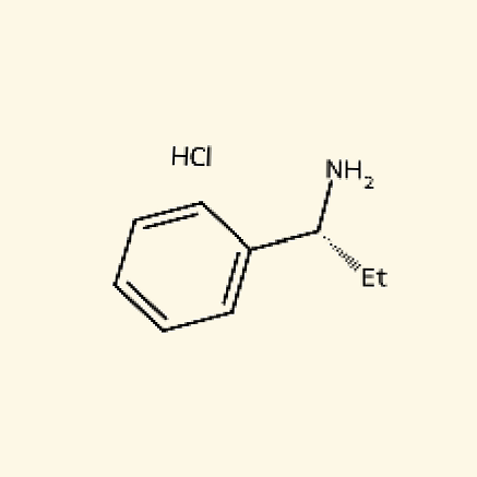 CC[C@@H](N)c1ccccc1.Cl